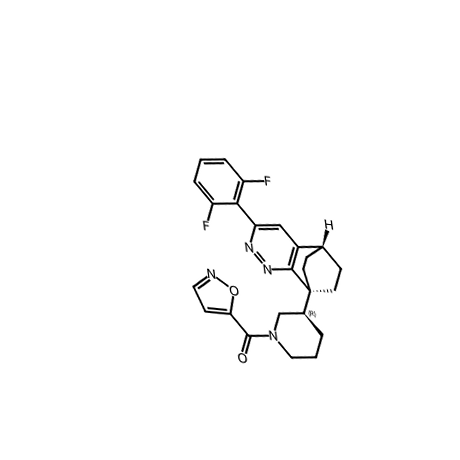 O=C(c1ccno1)N1CCC[C@H]([C@]23CC[C@H](CC2)c2cc(-c4c(F)cccc4F)nnc23)C1